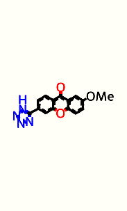 COc1ccc2oc3cc(-c4nnn[nH]4)ccc3c(=O)c2c1